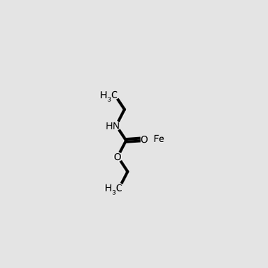 CCNC(=O)OCC.[Fe]